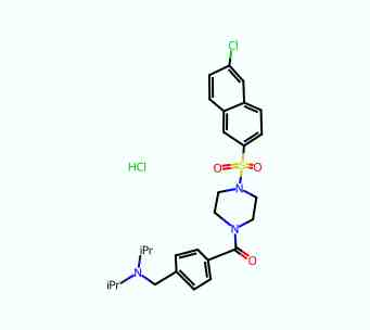 CC(C)N(Cc1ccc(C(=O)N2CCN(S(=O)(=O)c3ccc4cc(Cl)ccc4c3)CC2)cc1)C(C)C.Cl